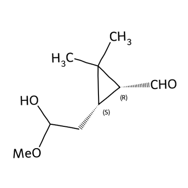 COC(O)C[C@H]1[C@@H](C=O)C1(C)C